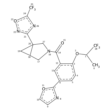 CC(Oc1ccc(-c2ncco2)cc1C(=O)N1CC2CC2(c2noc(C(F)(F)F)n2)C1)C(F)(F)F